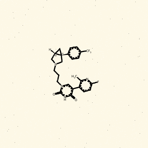 Cc1nc(F)ccc1-c1cn(CCCN2C[C@@H]3C[C@]3(c3ccc(C(F)(F)F)cc3)C2)c(=O)[nH]c1=O